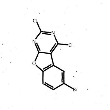 Clc1nc(Cl)c2c(n1)oc1ccc(Br)cc12